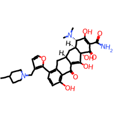 CC1CCN(Cc2ccoc2-c2ccc(O)c3c2C[C@H]2C[C@H]4[C@H](N(C)C)C(O)=C(C(N)=O)C(=O)[C@@]4(O)C(O)=C2C3=O)CC1